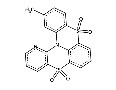 Cc1ccc2c(c1)N1c3ncccc3S(=O)(=O)c3cccc(c31)S2(=O)=O